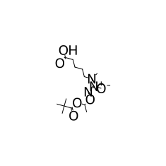 CC(O/N=[N+](\[O-])N(C)CCCCC(=O)O)OC(=O)C(C)(C)C